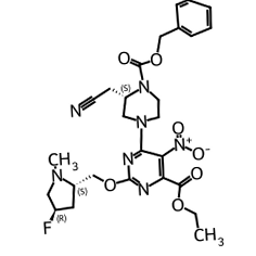 CCOC(=O)c1nc(OC[C@@H]2C[C@@H](F)CN2C)nc(N2CCN(C(=O)OCc3ccccc3)[C@@H](CC#N)C2)c1[N+](=O)[O-]